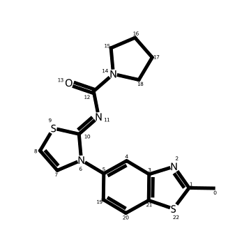 Cc1nc2cc(-n3ccsc3=NC(=O)N3CCCC3)ccc2s1